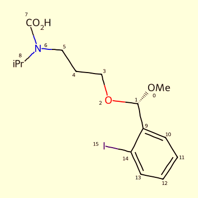 CO[C@@H](OCCCN(C(=O)O)C(C)C)c1ccccc1I